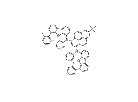 Cc1cccc(C)c1-c1cccc2c1oc1c(N(c3ccccc3)c3cc(N(c4ccccc4)c4cccc5c4oc4c(-c6c(C)cccc6C)cccc45)c4ccc5cc(C(C)(C)C)cc6ccc3c4c65)cccc12